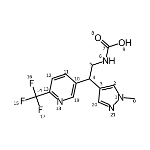 Cn1cc(C(CNC(=O)O)c2ccc(C(F)(F)F)nc2)cn1